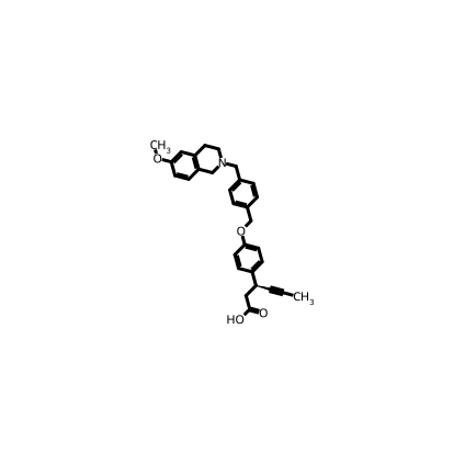 CC#C[C@@H](CC(=O)O)c1ccc(OCc2ccc(CN3CCc4cc(OC)ccc4C3)cc2)cc1